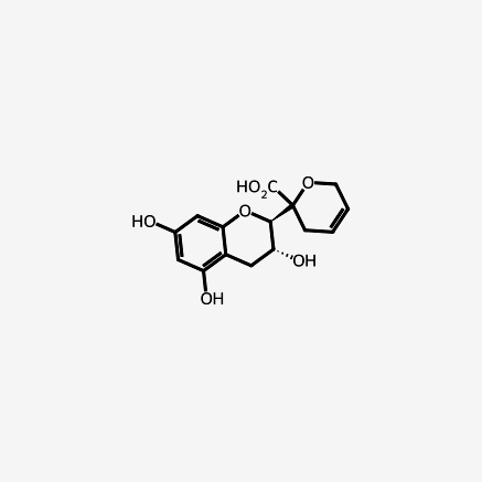 O=C(O)C1([C@@H]2Oc3cc(O)cc(O)c3C[C@H]2O)CC=CCO1